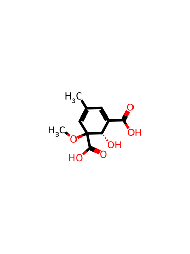 COC1(C(=O)O)C=C(C)C=C(C(=O)O)[C@@H]1O